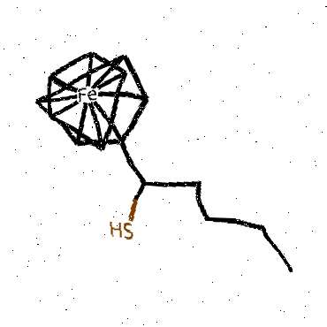 CCCCC(S)[C]12[CH]3[CH]4[CH]5[CH]1[Fe]45321678[CH]2[CH]1[CH]6[CH]7[CH]28